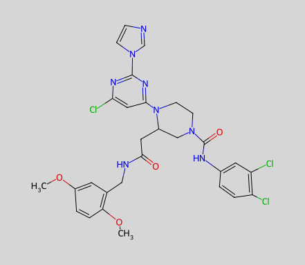 COc1ccc(OC)c(CNC(=O)CC2CN(C(=O)Nc3ccc(Cl)c(Cl)c3)CCN2c2cc(Cl)nc(-n3ccnc3)n2)c1